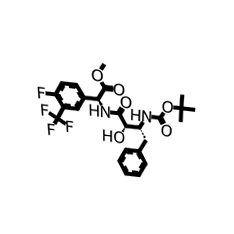 COC(=O)[C@@H](NC(=O)[C@@H](O)[C@@H](Cc1ccccc1)NC(=O)OC(C)(C)C)c1ccc(F)c(C(F)(F)F)c1